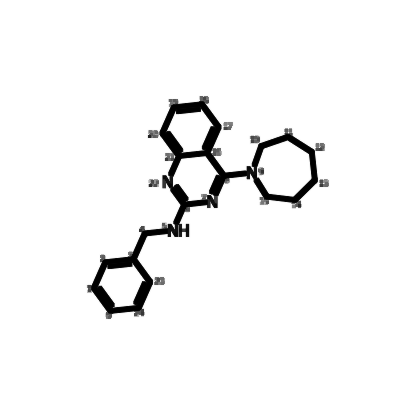 c1ccc(CNc2nc(N3CCCCCC3)c3ccccc3n2)cc1